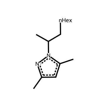 CCCCCCCC(C)n1nc(C)cc1C